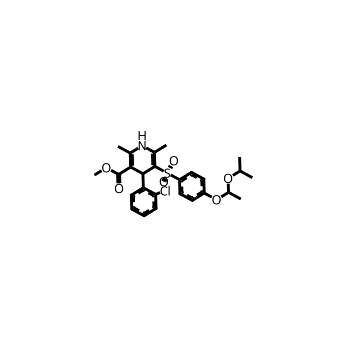 COC(=O)C1=C(C)NC(C)=C(S(=O)(=O)c2ccc(OC(C)OC(C)C)cc2)C1c1ccccc1Cl